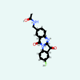 CC(=O)NCc1ccc2nc3n(c(=O)c2c1)-c1ccc(F)cc1C3=O